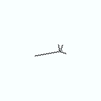 CCCCCCCCCCCCCCCCCCC[N+](CCCCC)(CCCCC)CCCCC